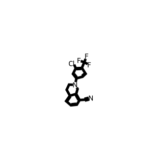 N#Cc1cccc2c1CN(c1ccc(C(F)(F)F)c(Cl)c1)CC2